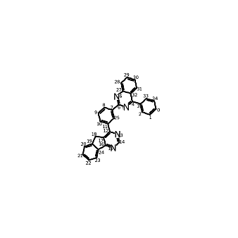 c1ccc(-c2nc(-c3cccc(-c4ncnc5c4Cc4ccccc4-5)c3)nc3ccccc23)cc1